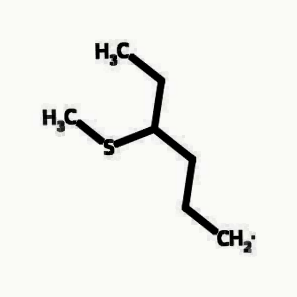 [CH2]CCC(CC)SC